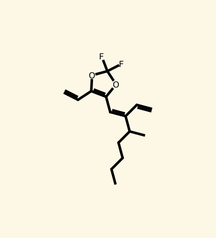 C=CC1=C(/C=C(\C=C)C(C)CCCC)OC(F)(F)O1